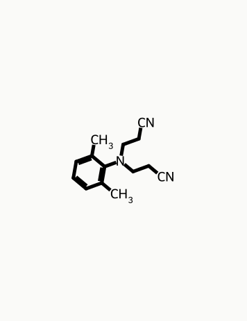 Cc1cccc(C)c1N(CCC#N)CCC#N